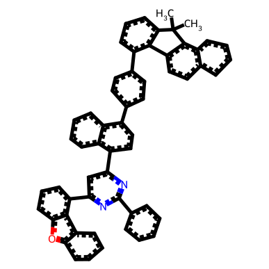 CC1(C)c2cccc(-c3ccc(-c4ccc(-c5cc(-c6cccc7oc8ccccc8c67)nc(-c6ccccc6)n5)c5ccccc45)cc3)c2-c2ccc3ccccc3c21